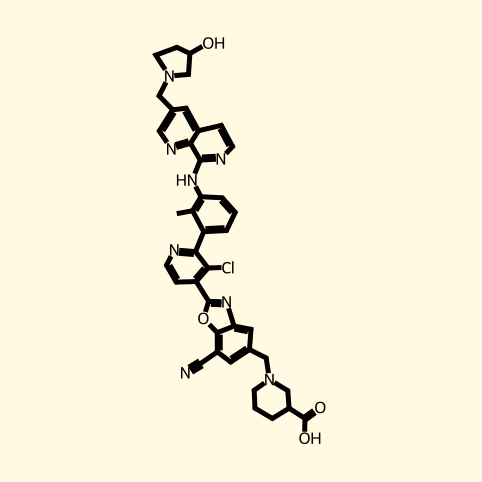 Cc1c(Nc2nccc3cc(CN4CCC(O)C4)cnc23)cccc1-c1nccc(-c2nc3cc(CN4CCCC(C(=O)O)C4)cc(C#N)c3o2)c1Cl